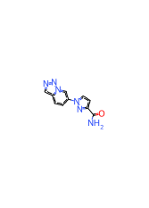 NC(=O)c1ccn(-c2ccc3cnnn3c2)n1